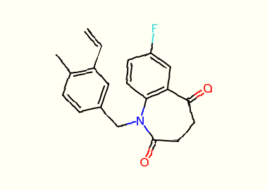 C=Cc1cc(CN2C(=O)CCC(=O)c3cc(F)ccc32)ccc1C